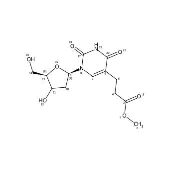 COC(=O)CCc1cn([C@H]2CC(O)[C@@H](CO)O2)c(=O)[nH]c1=O